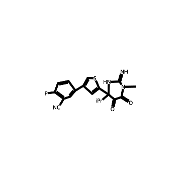 CC(C)C1(c2cc(-c3ccc(F)c(C#N)c3)cs2)NC(=N)N(C)C(=O)C1=O